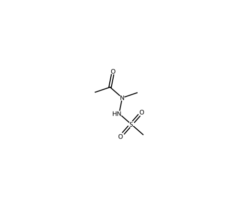 CC(=O)N(C)NS(C)(=O)=O